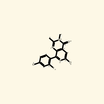 Cc1nc2c(-c3ccc(Cl)cc3F)nc(Cl)cc2c(=O)n1C